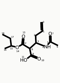 C=CCC(NC(C)=O)C(C(=O)O)C(=O)OC(C)CC